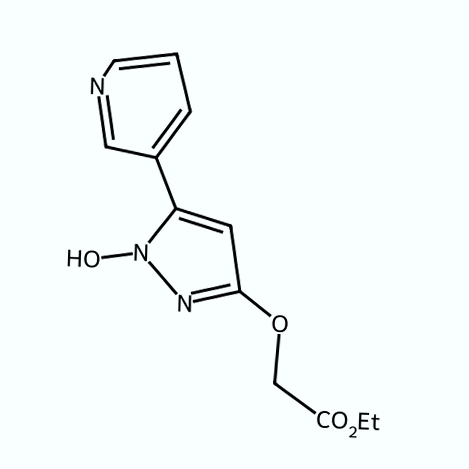 CCOC(=O)COc1cc(-c2cccnc2)n(O)n1